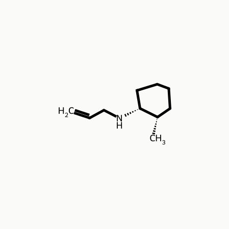 C=CCN[C@@H]1CCCC[C@@H]1C